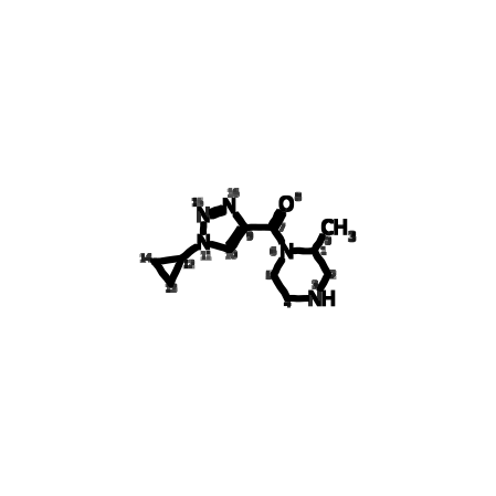 CC1CNCCN1C(=O)c1cn(C2CC2)nn1